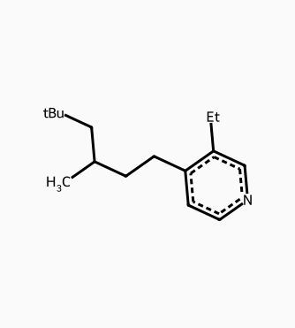 CCc1cnccc1CCC(C)CC(C)(C)C